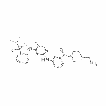 CC(C)S(=O)(=O)c1ccccc1Nc1nc(Nc2cccc(C(=O)N3CCC(CN)CC3)c2)ncc1Cl